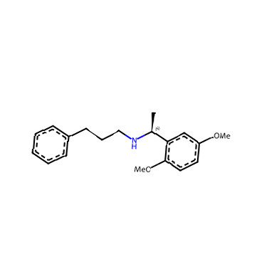 COc1ccc(OC)c([C@H](C)NCCCc2ccccc2)c1